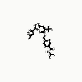 Cc1cc(-c2nnc3cc(C(C)(C)C)c(OCc4ccc(C(=O)NC(C)C)cn4)nn23)no1